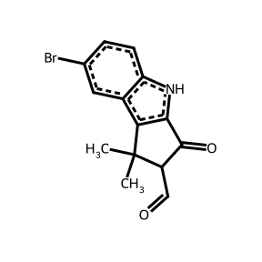 CC1(C)c2c([nH]c3ccc(Br)cc23)C(=O)C1C=O